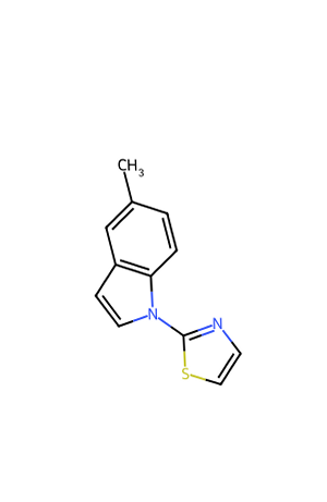 Cc1ccc2c(ccn2-c2nccs2)c1